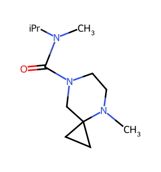 CC(C)N(C)C(=O)N1CCN(C)C2(CC2)C1